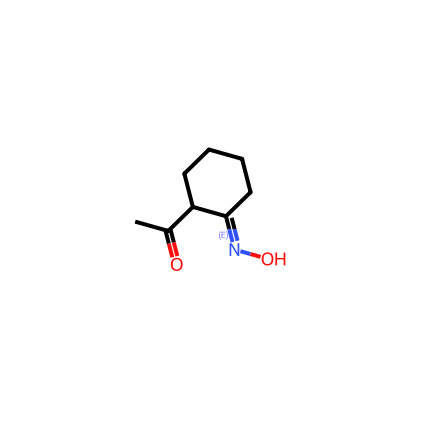 CC(=O)C1CCCC/C1=N\O